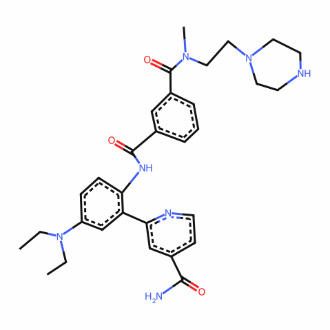 CCN(CC)c1ccc(NC(=O)c2cccc(C(=O)N(C)CCN3CCNCC3)c2)c(-c2cc(C(N)=O)ccn2)c1